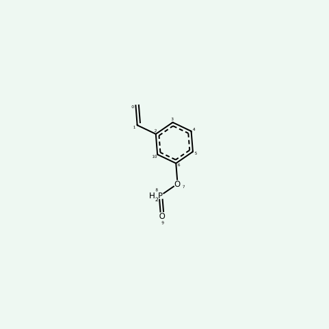 C=Cc1cccc(O[PH2]=O)c1